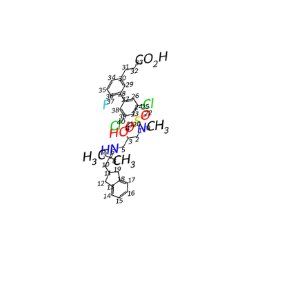 CN(C[C@H](O)CNC(C)(C)CC1Cc2ccccc2C1)S(=O)(=O)c1c(Cl)cc(-c2cc(CCC(=O)O)ccc2F)cc1Cl